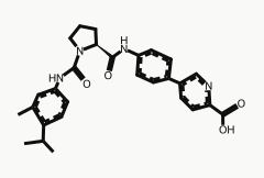 Cc1cc(NC(=O)N2CCC[C@H]2C(=O)Nc2ccc(-c3ccc(C(=O)O)nc3)cc2)ccc1C(C)C